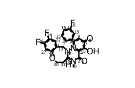 CN1C(=O)c2c(O)c(=O)ccn2N2[C@@H](c3ccc(F)cc3)c3cc(F)c(F)cc3OCC[C@H]12